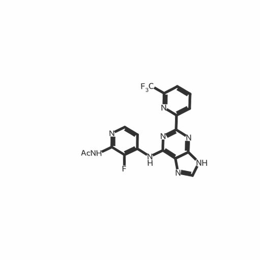 CC(=O)Nc1nccc(Nc2nc(-c3cccc(C(F)(F)F)n3)nc3[nH]cnc23)c1F